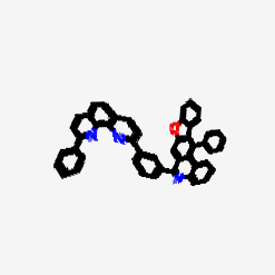 c1ccc(-c2ccc3ccc4ccc(-c5cccc(-c6nc7ccccc7c7c(-c8ccccc8)c8c(cc67)oc6ccccc68)c5)nc4c3n2)cc1